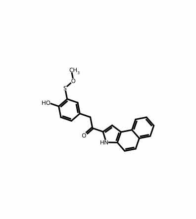 COSc1cc(CC(=O)c2cc3c(ccc4ccccc43)[nH]2)ccc1O